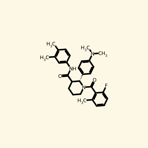 Cc1ccc(NC(=O)C2CCCN(C(=O)c3c(C)cccc3F)[C@H]2c2ccc(N(C)C)cc2)cc1C